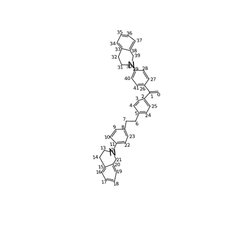 C=C(c1ccc(CCc2ccc(N3CCc4ccccc4C3)cc2)cc1)c1ccc(N2CCc3ccccc3C2)cc1